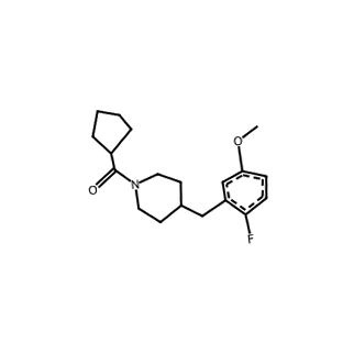 COc1ccc(F)c(CC2CCN(C(=O)C3CCCC3)CC2)c1